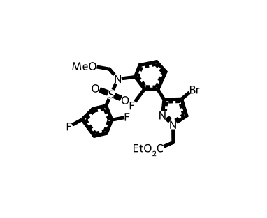 CCOC(=O)Cn1cc(Br)c(-c2cccc(N(COC)S(=O)(=O)c3cc(F)ccc3F)c2F)n1